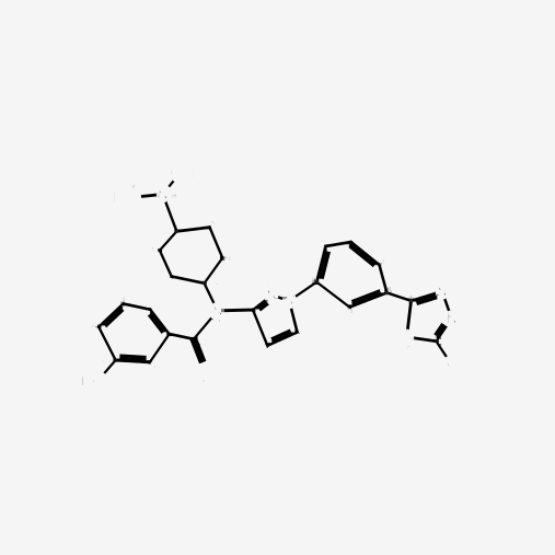 Cc1nnc(-c2cccc(-n3ccc(N(C(=O)c4cccc(O)c4)C4CCC(N(C)C)CC4)n3)c2)o1